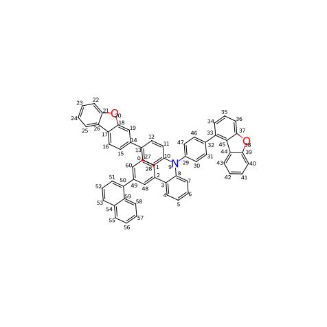 c1cc(-c2ccccc2N(c2ccc(-c3ccc4c(c3)oc3ccccc34)cc2)c2ccc(-c3cccc4oc5ccccc5c34)cc2)cc(-c2cccc3ccccc23)c1